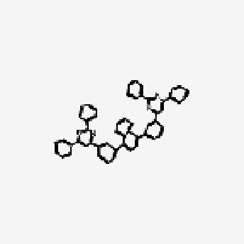 c1ccc(-c2cc(-c3cccc(-c4ccc(-c5cccc(-c6cc(-c7ccccc7)nc(-c7ccccc7)n6)c5)c5ccccc45)c3)nc(-c3ccccc3)n2)cc1